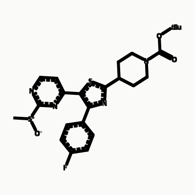 C[S+]([O-])c1nccc(-c2sc(C3CCN(C(=O)OC(C)(C)C)CC3)nc2-c2ccc(F)cc2)n1